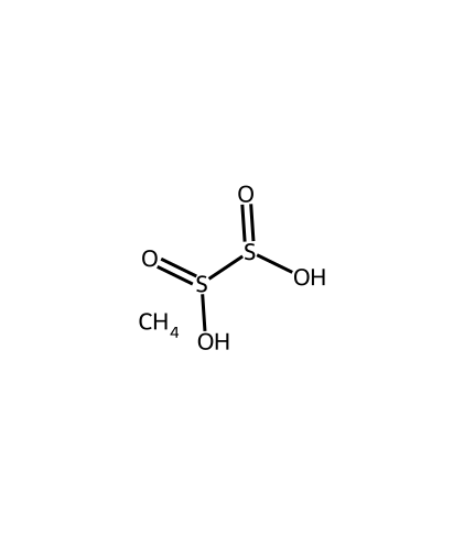 C.O=S(O)S(=O)O